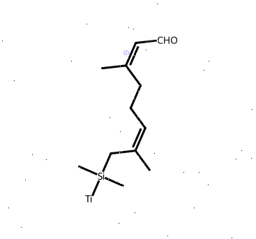 CC(=CCC/C(C)=C\C=O)C[Si](C)(C)[Ti]